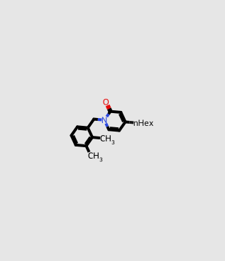 CCCCCCc1ccn(Cc2cccc(C)c2C)c(=O)c1